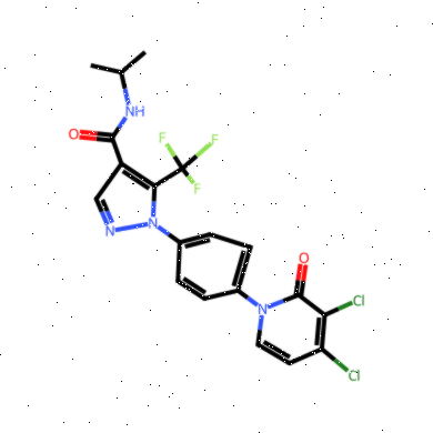 CC(C)NC(=O)c1cnn(-c2ccc(-n3ccc(Cl)c(Cl)c3=O)cc2)c1C(F)(F)F